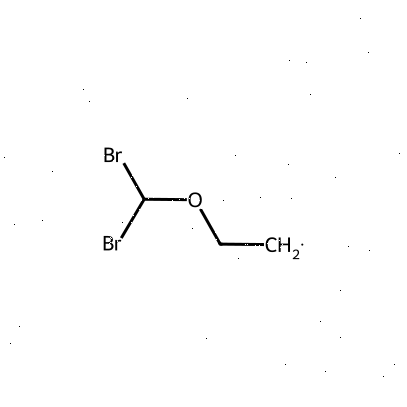 [CH2]COC(Br)Br